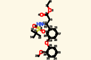 CCOC(=O)C[C@H](NS(=O)(=O)C(C)(C)C)c1cccc(Oc2ccccc2OC)c1